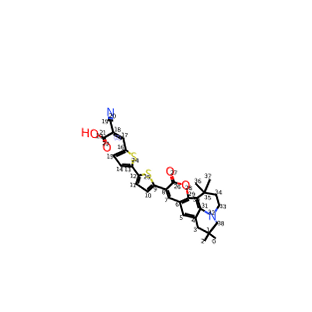 CC1(C)Cc2cc3cc(-c4ccc(-c5ccc(/C=C(/C#N)C(=O)O)s5)s4)c(=O)oc3c3c2N(CCC3(C)C)C1